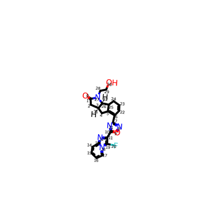 O=C1C[C@@H]2CC3=C(c4noc(-c5nc6ccccn6c5F)n4)C=CCC3[C@@H]2N1CCO